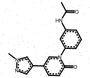 CC(=O)Nc1cccc(-n2cc(-c3cnn(C)c3)ccc2=O)c1